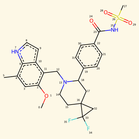 COc1cc(C)c2[nH]ccc2c1CN1CCC2(CC1c1ccc(C(=O)NS(C)(=O)=O)cc1)CC2(F)F